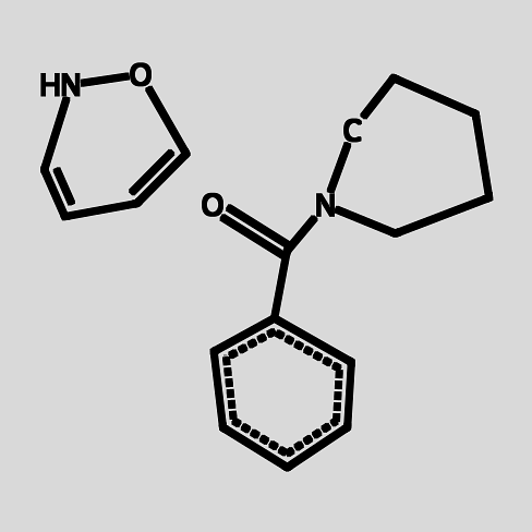 C1=CNOC=C1.O=C(c1ccccc1)N1CCCCC1